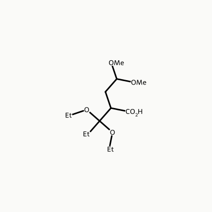 CCOC(CC)(OCC)C(CC(OC)OC)C(=O)O